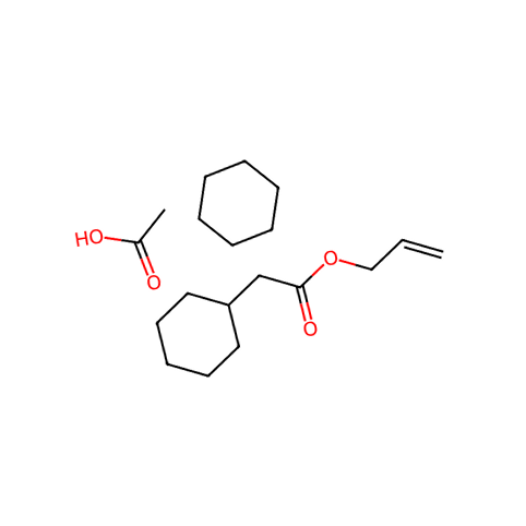 C1CCCCC1.C=CCOC(=O)CC1CCCCC1.CC(=O)O